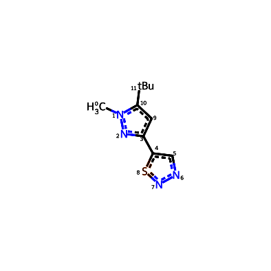 Cn1nc(-c2cnns2)cc1C(C)(C)C